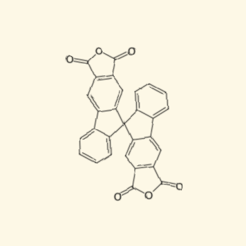 O=C1OC(=O)c2cc3c(cc21)-c1ccccc1C31c2ccccc2-c2cc3c(cc21)C(=O)OC3=O